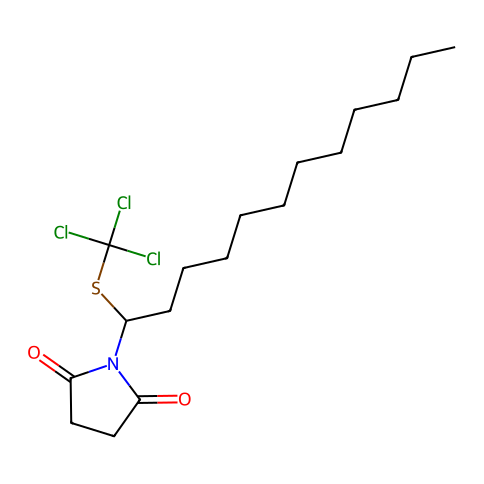 CCCCCCCCCCCC(SC(Cl)(Cl)Cl)N1C(=O)CCC1=O